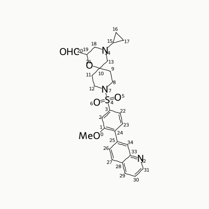 COc1cc(S(=O)(=O)N2CCC3(CC2)CN(C2CC2)CC(C=O)O3)ccc1-c1ccc2cccnc2c1